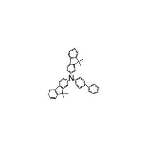 CC1(C)C2=C(CCC=C2)c2ccc(N(c3ccc(-c4ccccc4)cc3)c3ccc4c(c3)C(C)(C)c3ccccc3-4)cc21